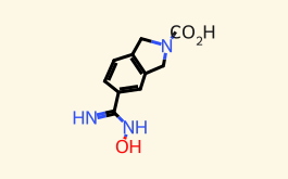 N=C(NO)c1ccc2c(c1)CN(C(=O)O)C2